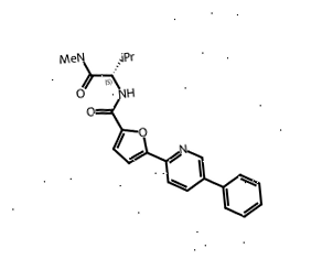 CNC(=O)[C@@H](NC(=O)c1ccc(-c2ccc(-c3ccccc3)cn2)o1)C(C)C